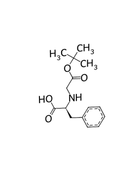 CC(C)(C)OC(=O)CN[C@@H](Cc1ccccc1)C(=O)O